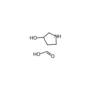 O=CO.OC1CCNC1